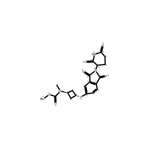 CN(C(=O)OC(C)(C)C)[C@H]1C[C@H](Oc2ccc3c(c2)C(=O)N(C2CCC(=O)NC2=O)C3=O)C1